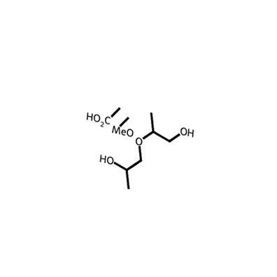 CC(=O)O.CC(O)COC(C)CO.COC